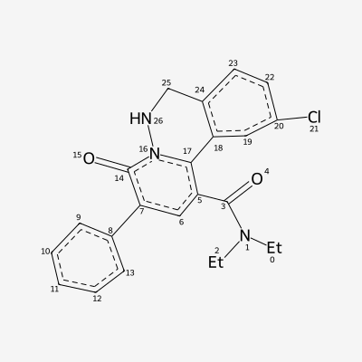 CCN(CC)C(=O)c1cc(-c2ccccc2)c(=O)n2c1-c1cc(Cl)ccc1CN2